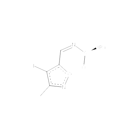 Cc1noc(/C=N\[S@+]([O-])C(C)(C)C)c1I